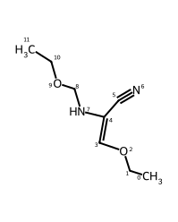 CCO/C=C(\C#N)NCOCC